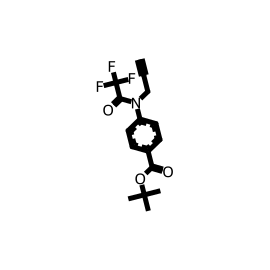 C#CCN(C(=O)C(F)(F)F)c1ccc(C(=O)OC(C)(C)C)cc1